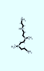 CN(CCN)CCN(C)CCNCCN